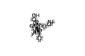 C=CCN1CC(=O)N2[C@@H](Cc3ccc(O)cc3)C(=O)N(Cc3cccc(-c4ccc(F)nc4)c3)C[C@@H]2N1C(=O)NCc1ccccc1